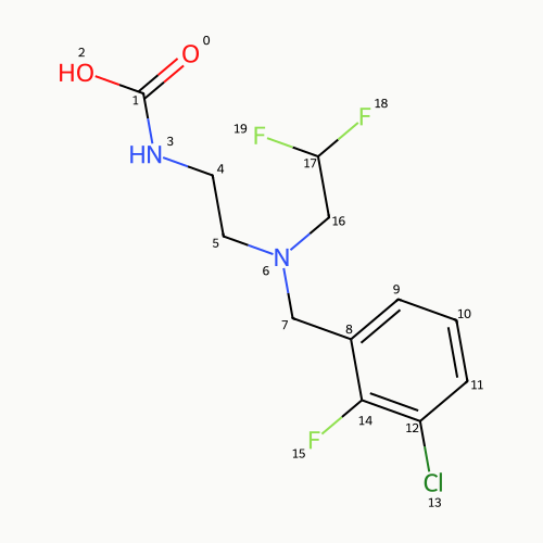 O=C(O)NCCN(Cc1cccc(Cl)c1F)CC(F)F